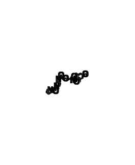 COc1cc(C)c(S(=O)(=O)N(C)CCOCC(=O)N(C)[C@H]2CCN(C(=O)CN3CCCC3)C2)c(C)c1